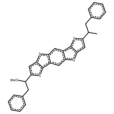 COC(Cc1ccccc1)c1cc2sc3cc4c(cc3c2s1)sc1cc(C(C)Cc2ccccc2)sc14